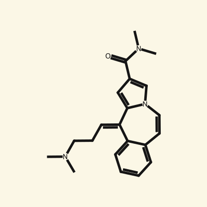 CN(C)CC/C=C1\c2ccccc2C=Cn2cc(C(=O)N(C)C)cc21